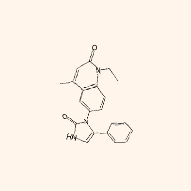 CCn1c(=O)cc(C)c2cc(-n3c(-c4ccccc4)c[nH]c3=O)ccc21